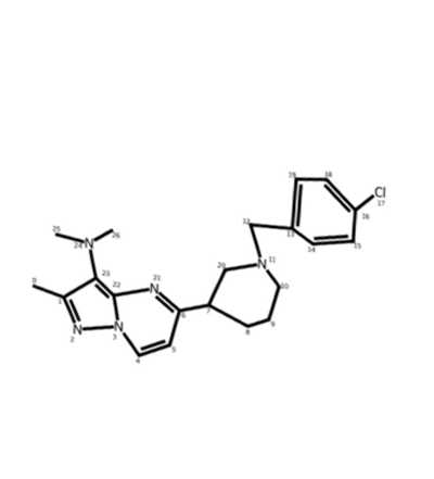 Cc1nn2ccc(C3CCCN(Cc4ccc(Cl)cc4)C3)nc2c1N(C)C